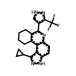 FC(F)(F)c1n[nH]cc1-c1nc2ccc3[nH]nc(C4CC4)c3c2c2c1CCCC2